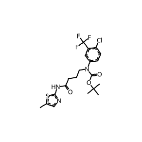 Cc1cnc(NC(=O)CCCN(C(=O)OC(C)(C)C)c2ccc(Cl)c(C(F)(F)F)c2)s1